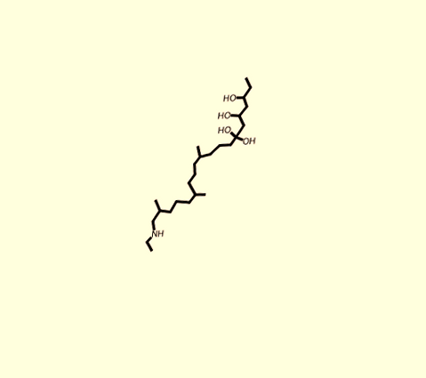 CCNCC(C)CCCC(C)CCCC(C)CCCC(O)(O)CC(O)CC(O)CC